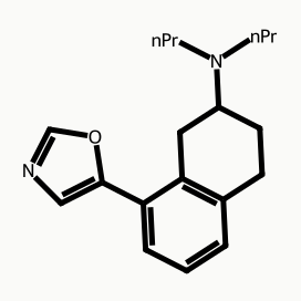 CCCN(CCC)C1CCc2cccc(-c3cnco3)c2C1